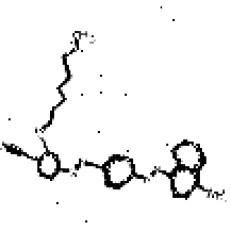 CCCCCCCCOc1cc(/N=N/c2ccc(/N=N/c3ccc(N)c4ccccc34)cc2)ccc1C#N